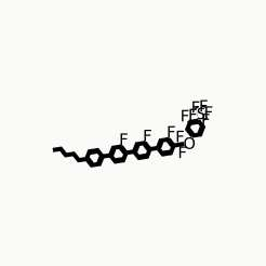 CCCCCc1ccc(-c2ccc(-c3ccc(-c4ccc(C(F)(F)Oc5ccc(S(F)(F)(F)(F)F)c(F)c5)c(F)c4)c(F)c3)c(F)c2)cc1